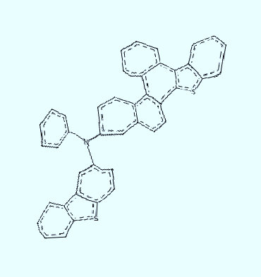 c1ccc(N(c2ccc3c(ccc4c5sc6ccccc6c5c5ccccc5c34)c2)c2ccc3sc4ccccc4c3c2)cc1